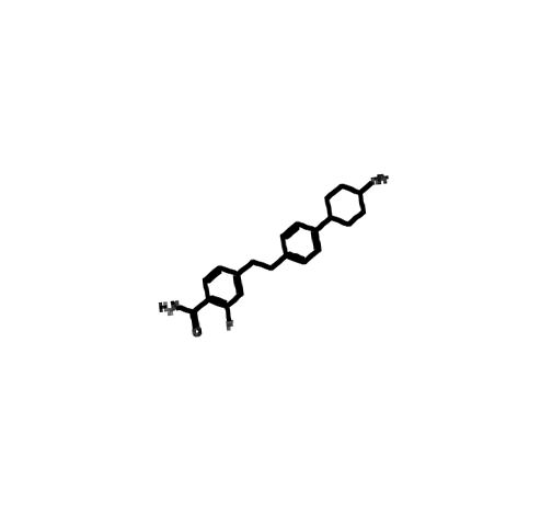 CCCC1CCC(c2ccc(CCc3ccc(C(N)=O)c(F)c3)cc2)CC1